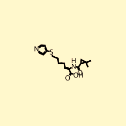 CC1(C)CC1C(=O)NC(=CCCCCSc1ccncc1)C(=O)O